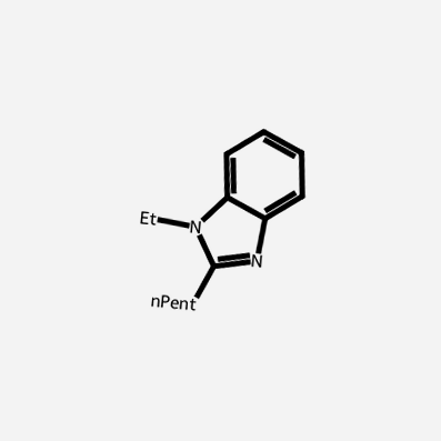 CCCCCc1nc2ccccc2n1CC